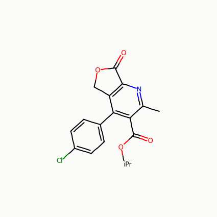 Cc1nc2c(c(-c3ccc(Cl)cc3)c1C(=O)OC(C)C)COC2=O